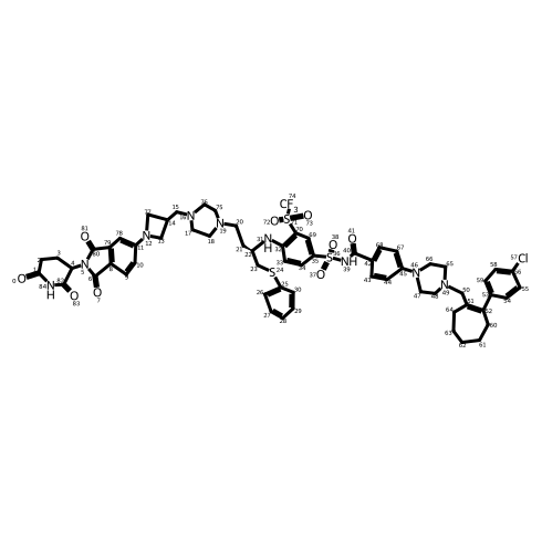 O=C1CCC(N2C(=O)c3ccc(N4CC(CN5CCN(CC[C@H](CSc6ccccc6)Nc6ccc(S(=O)(=O)NC(=O)c7ccc(N8CCN(CC9=C(c%10ccc(Cl)cc%10)CCCCC9)CC8)cc7)cc6S(=O)(=O)C(F)(F)F)CC5)C4)cc3C2=O)C(=O)N1